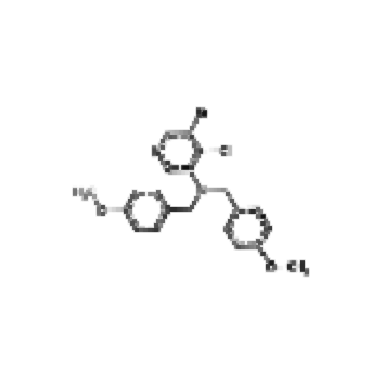 COc1ccc(CN(Cc2ccc(OC)cc2)c2cncc(Br)c2Cl)cc1